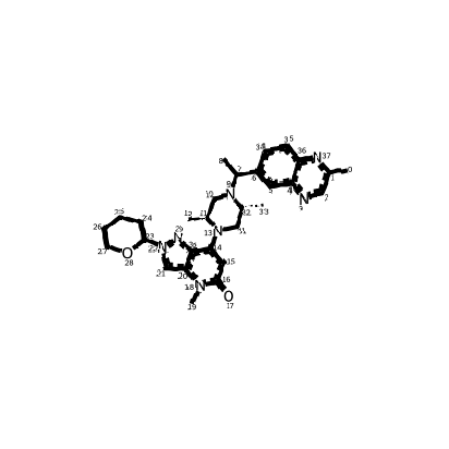 Cc1cnc2cc(C(C)N3C[C@H](C)N(c4cc(=O)n(C)c5cn(C6CCCCO6)nc45)C[C@H]3C)ccc2n1